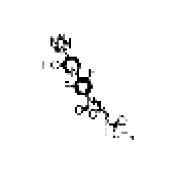 CC(=O)NC[C@H]1CN(c2cc(F)c(N3CCC(n4cnnn4)C(O)C3)c(F)c2)C(=O)O1